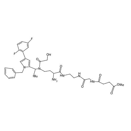 COC(=O)CCC(=O)NCC(=O)NCCNC(=O)C(N)CCN(C(=O)CO)C(c1cc(-c2cc(F)ccc2F)cn1Cc1ccccc1)C(C)(C)C